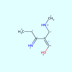 CCC(=N)/C(=C\O)CNC